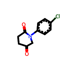 O=C1CCC(=O)N(c2ccc(Cl)cc2)C1